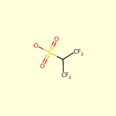 [O]S(=O)(=O)C(C(F)(F)F)C(F)(F)F